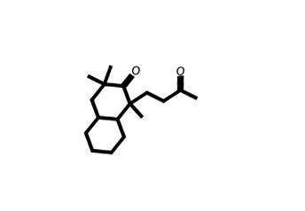 CC(=O)CCC1(C)C(=O)C(C)(C)CC2CCCCC21